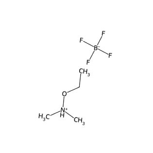 CCO[NH+](C)C.F[B-](F)(F)F